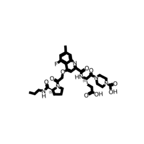 CCCNC(=O)[C@@H]1CCCN1C(=O)COc1cc(C(=O)N[C@@H](CCC(=O)O)C(=O)N2CCN(C(=O)O)CC2)nc2cc(C)cc(F)c12